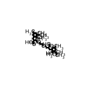 Cc1cc(CC(CCOCCOCCC(Cc2cc(C)cc(C(C)(C)C)c2O)C(=O)O)C(=O)O)c(O)c(C(C)(C)C)c1